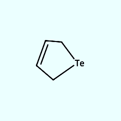 C1=CC[Te]C1